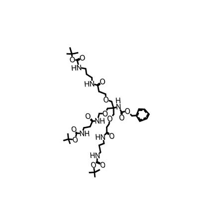 CC(C)(C)OC(=O)NCCCNC(=O)CCOCC(COCCC(=O)NCCCNC(=O)OC(C)(C)C)(COCNC(=O)CCNC(=O)OC(C)(C)C)NC(=O)OCc1ccccc1